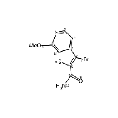 COc1cccc2c(Br)c(C(N)=O)sc12